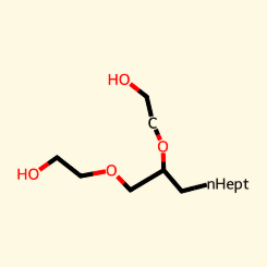 CCCCCCCCC(COCCO)OCCO